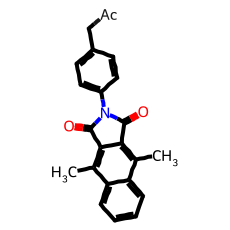 CC(=O)Cc1ccc(N2C(=O)c3c(c(C)c4ccccc4c3C)C2=O)cc1